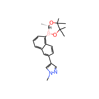 C[C@@H]1OC(C)(C)C(C)(C)OB1c1cccc2cc(-c3cnn(C)c3)ccc12